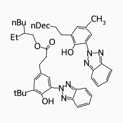 CCCCC(CC)COC(=O)CCc1cc(-n2nc3ccccc3n2)c(O)c(C(C)(C)C)c1.CCCCCCCCCCCCc1cc(C)cc(-n2nc3ccccc3n2)c1O